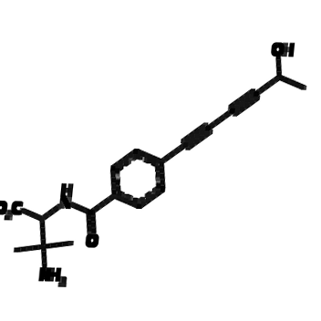 CC(O)C#CC#Cc1ccc(C(=O)NC(C(=O)O)C(C)(C)N)cc1